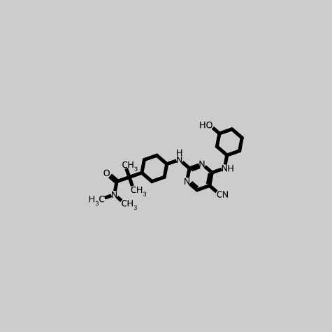 CN(C)C(=O)C(C)(C)C1CCC(Nc2ncc(C#N)c(NC3CCCC(O)C3)n2)CC1